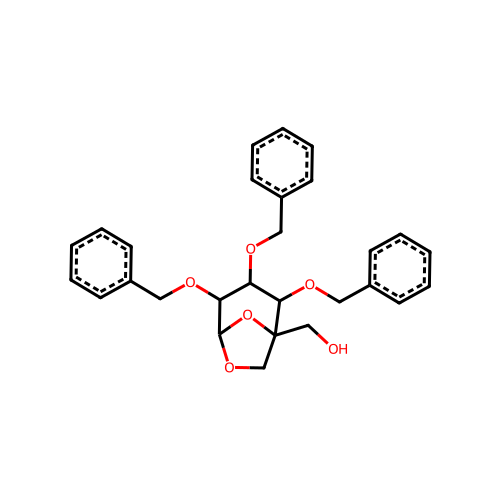 OCC12COC(O1)C(OCc1ccccc1)C(OCc1ccccc1)C2OCc1ccccc1